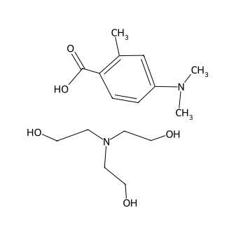 Cc1cc(N(C)C)ccc1C(=O)O.OCCN(CCO)CCO